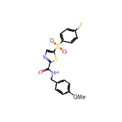 COc1ccc(CNC(=O)c2ncc(S(=O)(=O)c3ccc(F)cc3)s2)cc1